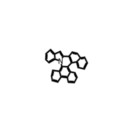 c1ccc2c(c1)ccc1c2c2c3ccccc3c3ccccc3c2n2c3ccccc3cc12